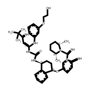 C[C@@H]1CCC[C@H](C)N1C(=N)n1cc(O[C@@H]2CC[C@H](NC(=O)N/C(=C/C(=N)C(C)(C)C)Nc3cccc(OCCO)c3)c3ccccc32)ccc1=N